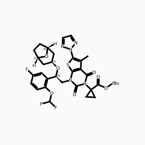 Cc1c(-n2nccn2)sc2c1c(=O)n(C1(C(=O)OC(C)(C)C)CC1)c(=O)n2C[C@H](O[C@@H]1C[C@H]2CC[C@@H](C1)O2)c1cc(F)ccc1OC(F)F